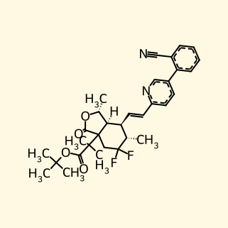 C[C@H]1OC(=O)C2(C(C)(C)C(=O)OC(C)(C)C)CC(F)(F)[C@@H](C)[C@H](/C=C/c3ccc(-c4ccccc4C#N)cn3)[C@H]12